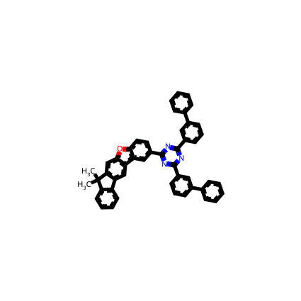 CC1(C)c2ccccc2-c2cc3c(cc21)oc1ccc(-c2nc(-c4cccc(-c5ccccc5)c4)nc(-c4cccc(-c5ccccc5)c4)n2)cc13